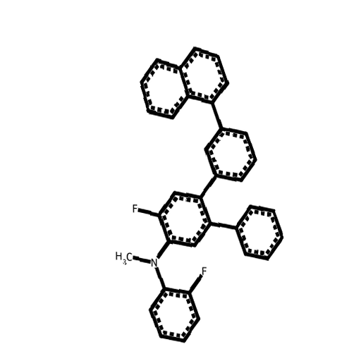 CN(c1ccccc1F)c1cc(-c2ccccc2)c(-c2cccc(-c3cccc4ccccc34)c2)cc1F